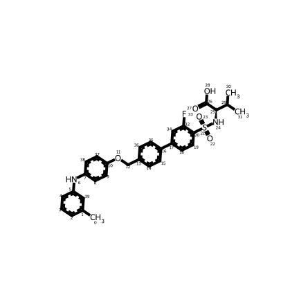 Cc1cccc(Nc2ccc(OCc3ccc(-c4ccc(S(=O)(=O)N[C@@H](C(=O)O)C(C)C)c(F)c4)cc3)cc2)c1